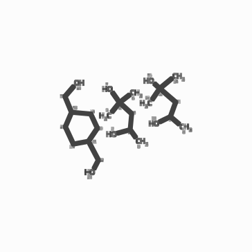 CC(O)CC(C)(C)O.CC(O)CC(C)(C)O.OCC1CCC(CO)CC1